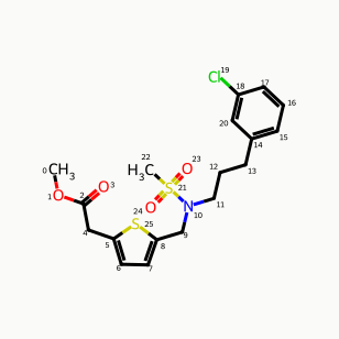 COC(=O)Cc1ccc(CN(CCCc2cccc(Cl)c2)S(C)(=O)=O)s1